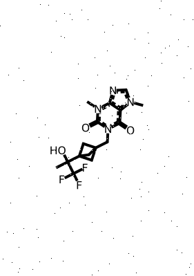 Cn1cnc2c1c(=O)n(CC13CC(C(C)(O)C(F)(F)F)(C1)C3)c(=O)n2C